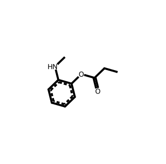 CCC(=O)Oc1ccccc1NC